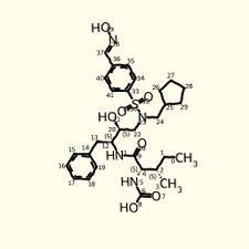 CC[C@H](C)[C@H](NC(=O)O)C(=O)N[C@@H](Cc1ccccc1)[C@@H](O)CN(CC1CCCC1)S(=O)(=O)c1ccc(C=NO)cc1